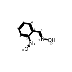 O=Nc1ccccc1/C=N/O